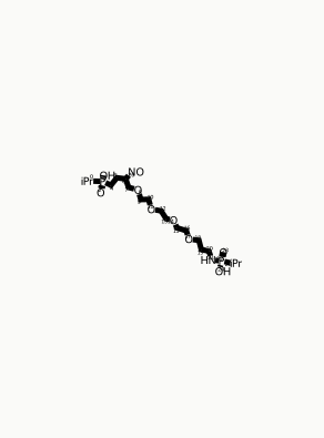 CC(C)P(=O)(O)CCC(COCCOCCOCCOCCCNP(=O)(O)C(C)C)N=O